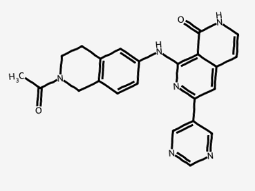 CC(=O)N1CCc2cc(Nc3nc(-c4cncnc4)cc4cc[nH]c(=O)c34)ccc2C1